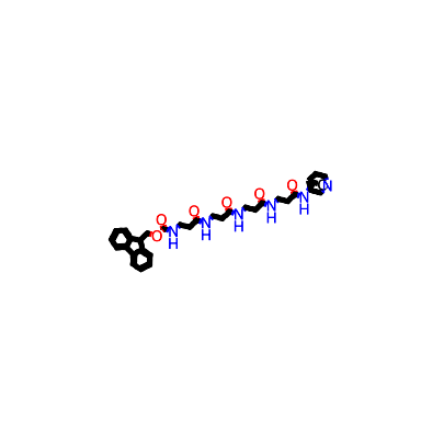 O=C(CCNC(=O)CCNC(=O)OCC1c2ccccc2-c2ccccc21)NCCC(=O)NCCC(=O)NC1CN2CCC1CC2